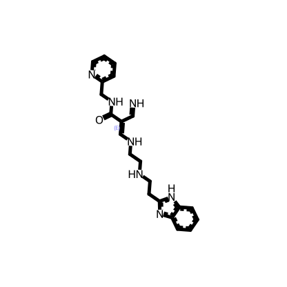 N=C/C(=C\NCCNCCc1nc2ccccc2[nH]1)C(=O)NCc1ccccn1